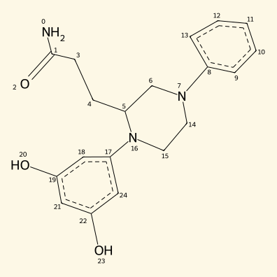 NC(=O)CCC1CN(c2ccccc2)CCN1c1cc(O)cc(O)c1